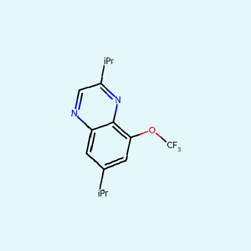 CC(C)c1cc(OC(F)(F)F)c2nc(C(C)C)cnc2c1